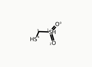 O=[SH](=O)CS